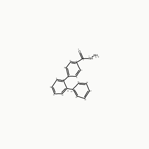 NNC(=O)c1ccc(-c2ccccc2-c2ccccc2)cc1